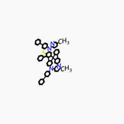 Cc1ccc(N(c2ccc(-c3ccccc3)cc2)c2cc3c(c4c2sc2ccccc24)-c2ccc(N(c4ccc(-c5ccccc5)cc4)c4ccc(C)nc4)cc2C32c3ccccc3-c3ccccc32)nc1